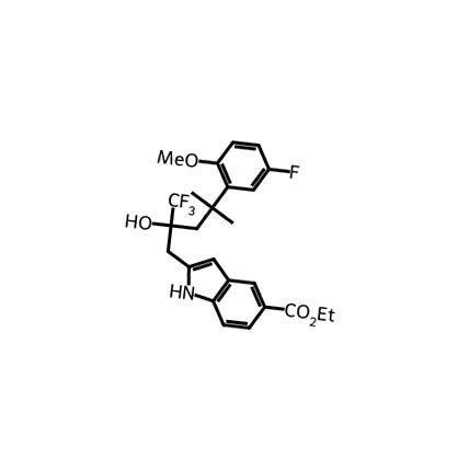 [CH2]COC(=O)c1ccc2[nH]c(CC(O)(CC(C)(C)c3cc(F)ccc3OC)C(F)(F)F)cc2c1